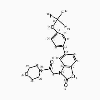 O=C(Cn1c(=O)oc2ccc(-c3ccc(OC(F)(F)F)cc3)cc21)N1CCOCC1